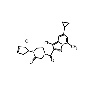 O=C(c1nn2c(C(F)(F)F)cc(C3CC3)cc2c1Cl)N1CCN([C@H]2CC=C[C@@H]2O)C(=O)C1